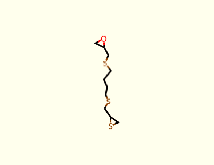 C(CCSCC1CS1)CSCC1CO1